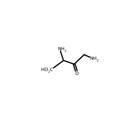 NCC(=O)C(N)C(=O)O